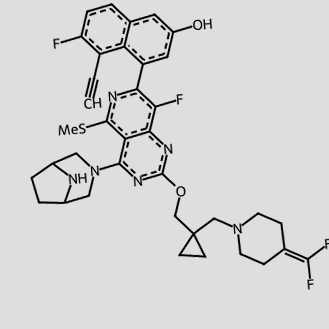 C#Cc1c(F)ccc2cc(O)cc(-c3nc(SC)c4c(N5CC6CCC(C5)N6)nc(OCC5(CN6CCC(=C(F)F)CC6)CC5)nc4c3F)c12